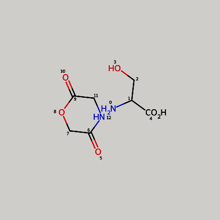 NC(CO)C(=O)O.O=C1COC(=O)CN1